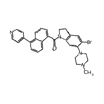 CN1CCN(c2cc3c(cc2Br)CCN3C(=O)c2cccc3c(-c4ccncc4)cccc23)CC1